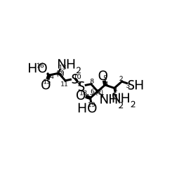 NC(CS)C(=O)[C@](N)(CSSC[C@H](N)C(=O)O)C(=O)O